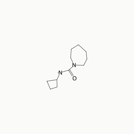 O=C([N]C1CCC1)N1CCCCCC1